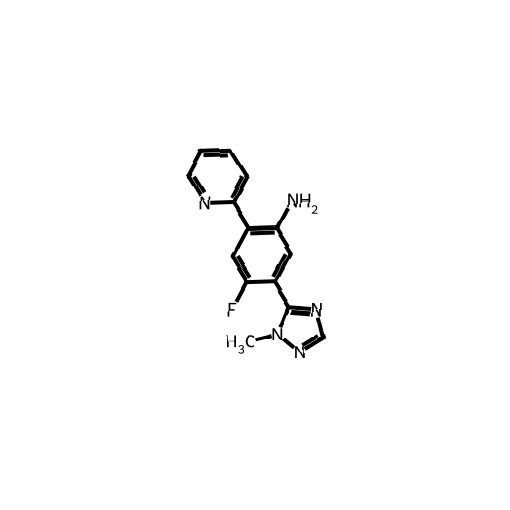 Cn1ncnc1-c1cc(N)c(-c2ccccn2)cc1F